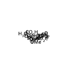 COc1cc2sc(C(=O)C[C@@H](C)C(=O)O)cc2cc1OCCCOc1cc2cc(C(=O)[C@@H]3C[C@H]3C(=O)O)sc2cc1OC